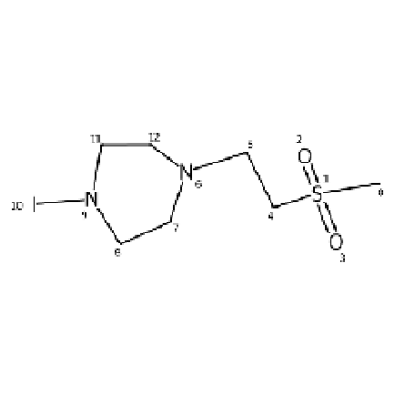 CS(=O)(=O)CCN1CCN(I)CC1